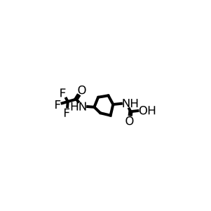 O=C(O)NC1CCC(NC(=O)C(F)(F)F)CC1